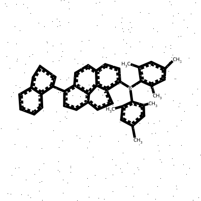 Cc1cc(C)c(B(c2c(C)cc(C)cc2C)c2ccc3ccc4c(-c5cccc6ccccc56)ccc5ccc2c3c54)c(C)c1